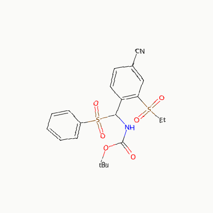 CCS(=O)(=O)c1cc(C#N)ccc1C(NC(=O)OC(C)(C)C)S(=O)(=O)c1ccccc1